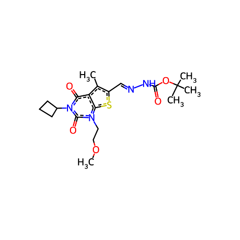 COCCn1c(=O)n(C2CCC2)c(=O)c2c(C)c(C=NNC(=O)OC(C)(C)C)sc21